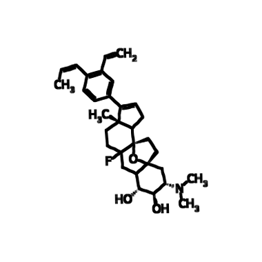 C=Cc1cc(C2=CCC3[C@@]45CC[C@]6(C[C@H](N(C)C)[C@@H](O)[C@H](O)C6CC4(F)CC[C@]23C)O5)ccc1/C=C\C